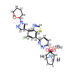 CC(C)(C)OC(=O)N1[C@@H]2CC[C@H]1CC(Oc1ccc(-c3cc(F)c(-c4cnn(C5CCCCO5)c4)c4ncsc34)nn1)C2